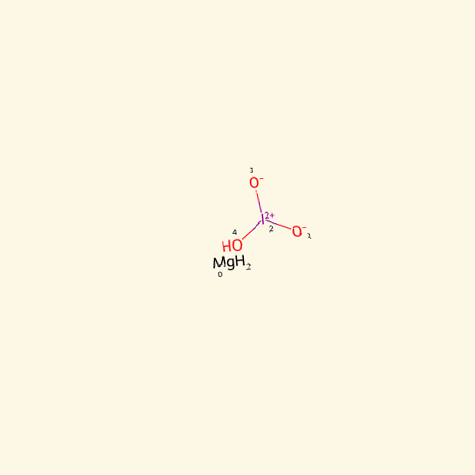 [MgH2].[O-][I+2]([O-])O